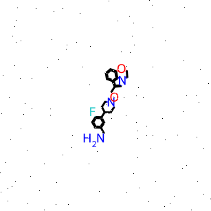 NCc1ccc(F)c(C2CCN(OCc3cn4c5c(cccc35)OCC4)CC2)c1